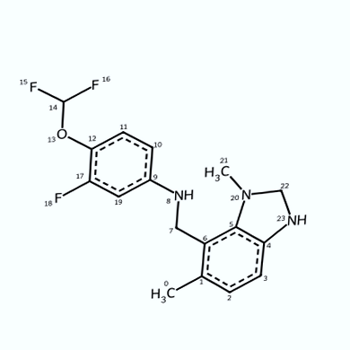 Cc1ccc2c(c1CNc1ccc(OC(F)F)c(F)c1)N(C)CN2